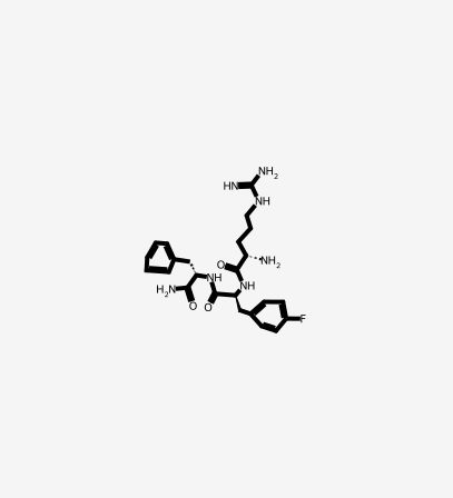 N=C(N)NCCC[C@H](N)C(=O)N[C@@H](Cc1ccc(F)cc1)C(=O)N[C@@H](Cc1ccccc1)C(N)=O